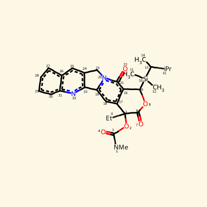 CCC1(OC(=O)NC)C(=O)OC([Si](C)(C)C(C)C(C)C)c2c1cc1n(c2=O)Cc2cc3ccccc3nc2-1